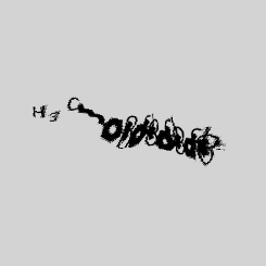 CCCCCCC[C@H]1CC[C@H](C(=O)Oc2ccc(C(=O)Oc3ccc(C(=O)Oc4ccc([N+](=O)[O-])c(Cl)c4)c(Cl)c3)c(Cl)c2)CC1